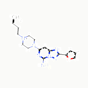 C=CCCN1CCN(c2cc3nc(-c4ccco4)nn3c(N)n2)CC1